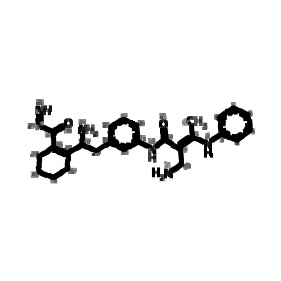 C/C(Nc1ccccc1)=C(/CN)C(=O)Nc1cccc(CC(N)C2=C(C(=O)N=N)CCCC2)c1